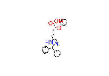 O=C(O)C(CCCc1cnc(C(c2ccccc2)c2ccccc2)[nH]1)Oc1ccccc1